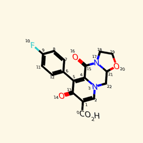 O=C(O)c1cn2c(c(-c3ccc(F)cc3)c1=O)C(=O)N1CCOC1C2